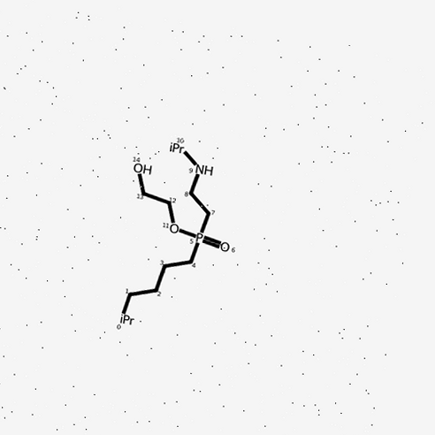 CC(C)CCCCP(=O)(CCNC(C)C)OCCO